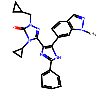 Cn1ncc2ccc(-c3[nH]c(-c4ccccc4)nc3-c3nn(CC4CC4)c(=O)n3C3CC3)cc21